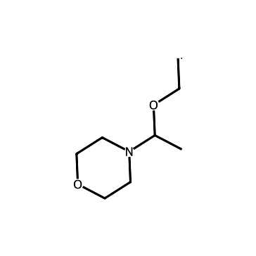 [CH2]COC(C)N1CCOCC1